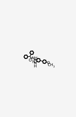 COc1ccc(-c2ccc3c(NC(=O)C(c4ccccc4)c4ccccc4)n[nH]c3c2)cc1